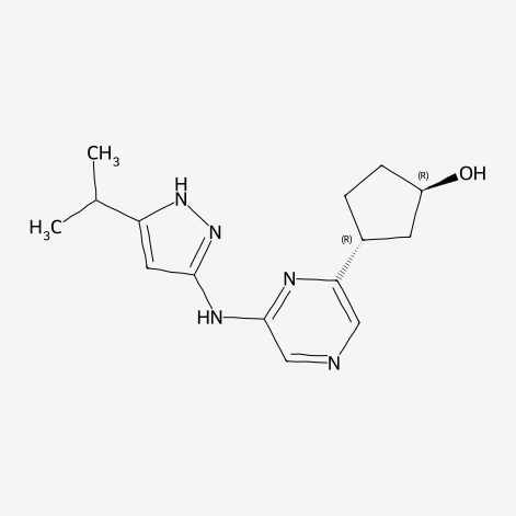 CC(C)c1cc(Nc2cncc([C@@H]3CC[C@@H](O)C3)n2)n[nH]1